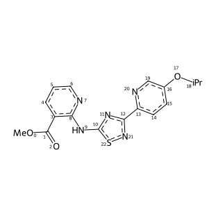 COC(=O)c1cccnc1Nc1nc(-c2ccc(OC(C)C)cn2)ns1